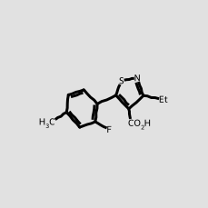 CCc1nsc(-c2ccc(C)cc2F)c1C(=O)O